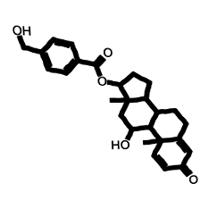 CC12C=CC(=O)C=C1CCC1C2C(O)CC2(C)C(OC(=O)c3ccc(CO)cc3)CCC12